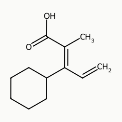 C=CC(=C(C)C(=O)O)C1CCCCC1